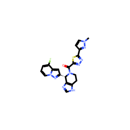 Cn1ccc(-c2nnc(C(=O)N3CCc4[nH]cnc4[C@@H]3c3cc4c(F)cccn4n3)s2)n1